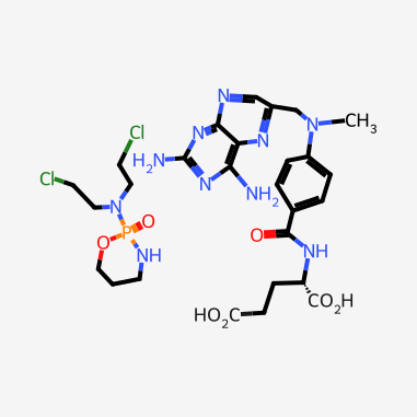 CN(Cc1cnc2nc(N)nc(N)c2n1)c1ccc(C(=O)N[C@@H](CCC(=O)O)C(=O)O)cc1.O=P1(N(CCCl)CCCl)NCCCO1